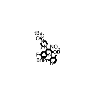 Cc1ccnc(C(C)C)c1N1C(=C=O)C([N+](=O)[O-])=C(N2CCN(C(=O)OC(C)(C)C)C[C@@H]2C)c2cc(F)c(Br)cc21